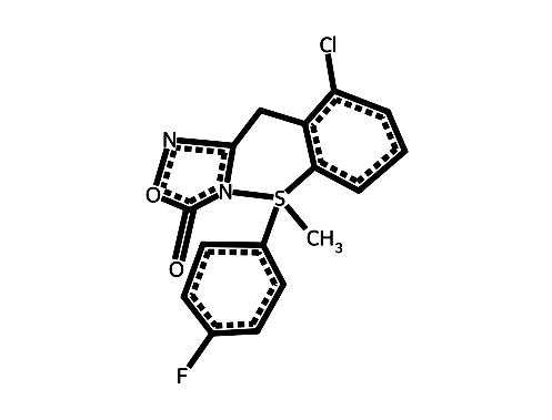 CS1(c2ccc(F)cc2)c2cccc(Cl)c2Cc2noc(=O)n21